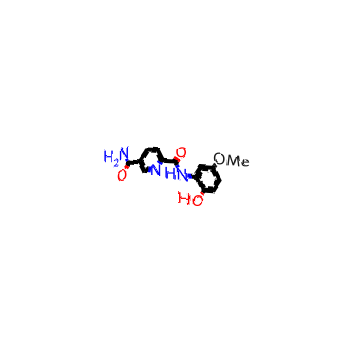 COc1ccc(O)c(NC(=O)c2ccc(C(N)=O)cn2)c1